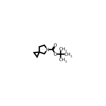 CC(C)(C)OC(=O)N1CCC2(CC2)C1